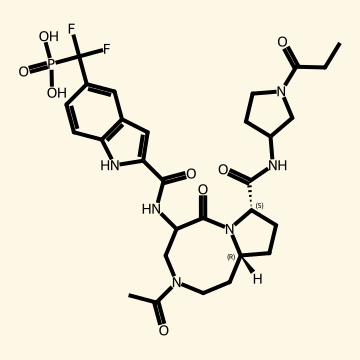 CCC(=O)N1CCC(NC(=O)[C@@H]2CC[C@@H]3CCN(C(C)=O)CC(NC(=O)c4cc5cc(C(F)(F)P(=O)(O)O)ccc5[nH]4)C(=O)N32)C1